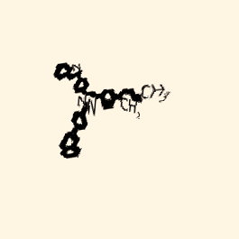 C=C(/C=C\C=C/C)c1ccc(-c2cc(-c3ccc(-c4cnc5ccccc5c4)cc3)nc(-c3ccc(-c4ccc5ccccc5c4)cc3)n2)cc1